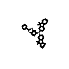 CC1(C)c2ccccc2-c2ccc(N(c3ccc4c(c3)C(C)(C)c3ccccc3-4)c3ccc4sc(-c5ccccc5)nc4c3)cc21